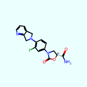 NC(=O)[C@H]1CN(c2ccc(N3Cc4cccnc4C3)c(F)c2)C(=O)O1